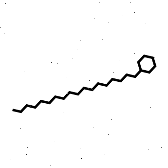 CCCCCCCCCCCCCCCCCCC1CC[CH]CC1